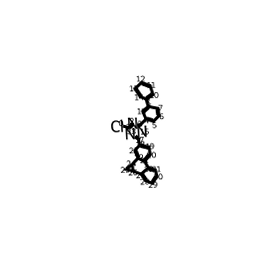 Clc1nc(-c2cccc(-c3ccccc3)c2)nc(-c2ccc3c(c2)C2CC2c2ccccc2-3)n1